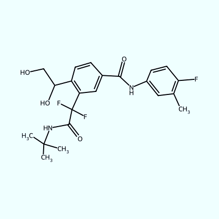 Cc1cc(NC(=O)c2ccc(C(O)CO)c(C(F)(F)C(=O)NC(C)(C)C)c2)ccc1F